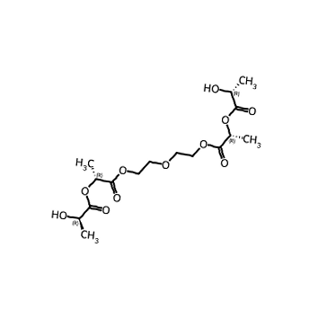 C[C@@H](O)C(=O)O[C@H](C)C(=O)OCCOCCOC(=O)[C@@H](C)OC(=O)[C@@H](C)O